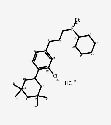 CCN(CCCc1ccc(C2CC(C)(C)CC(C)(C)C2)c(Cl)c1)C1CCCCC1.Cl